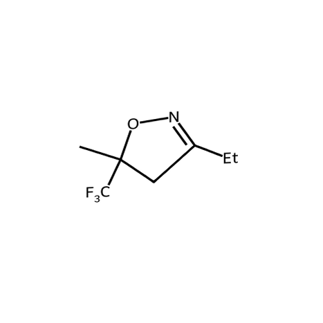 CCC1=NOC(C)(C(F)(F)F)C1